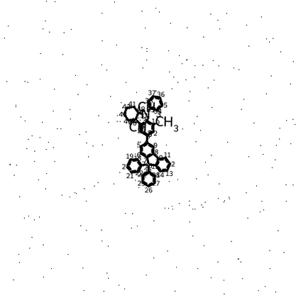 Cc1cc(-c2ccc3c(c2)-c2ccccc2C3(c2ccccc2)c2ccccc2)cc2c1N(c1ccccc1)C1(C)CCCCC21C